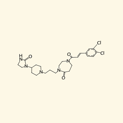 O=C(C=Cc1ccc(Cl)c(Cl)c1)N1CCC(=O)N(CCCN2CCC(N3CCNC3=O)CC2)CC1